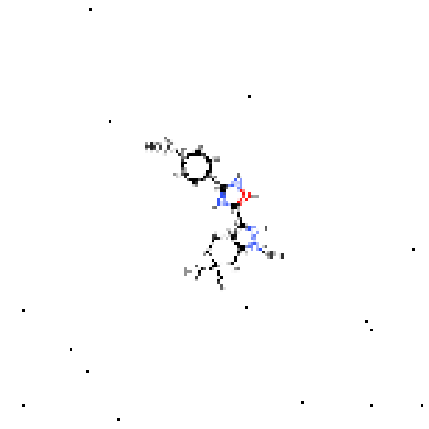 CC1(C)CCc2c(-c3nc(-c4ccc(C(=O)O)cc4)no3)nn(C(C)(C)C)c2C1